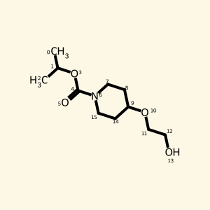 CC(C)OC(=O)N1CCC(OCCO)CC1